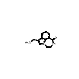 CC(=O)OCc1cn2c3c(cccc13)C(=O)NCC2